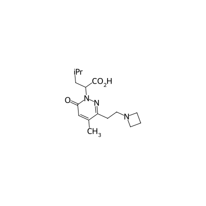 Cc1cc(=O)n(C(CC(C)C)C(=O)O)nc1CCN1CCC1